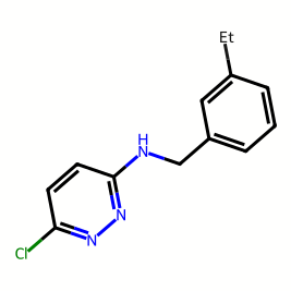 CCc1cccc(CNc2ccc(Cl)nn2)c1